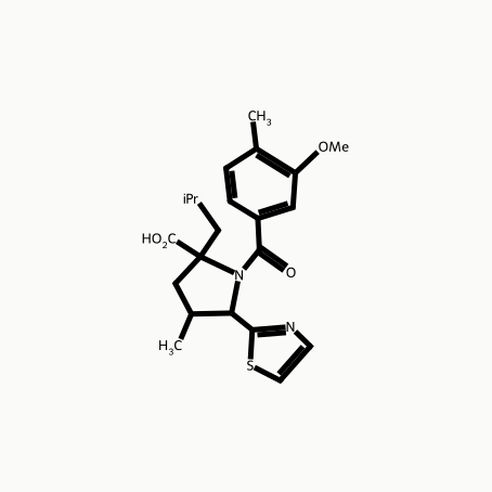 COc1cc(C(=O)N2C(c3nccs3)C(C)CC2(CC(C)C)C(=O)O)ccc1C